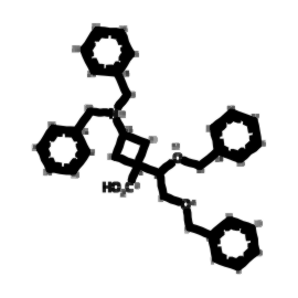 O=C(O)C1(C(COCc2ccccc2)OCc2ccccc2)CC(N(Cc2ccccc2)Cc2ccccc2)C1